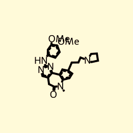 COc1ccc(Nc2ncc3c(n2)-c2cc(CCCN4CCCC4)ccc2N(C)C(=O)C3)cc1OC